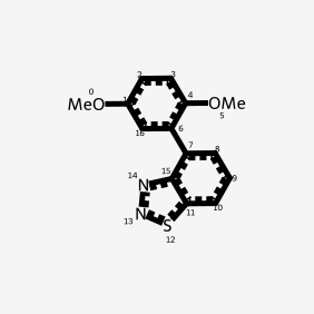 COc1ccc(OC)c(-c2cccc3snnc23)c1